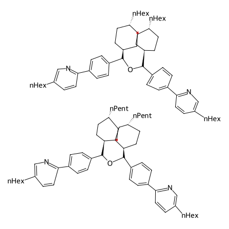 CCCCCCc1ccc(-c2ccc(C(OC(c3ccc(-c4ccc(CCCCCC)cn4)cc3)[C@H]3CC[C@H](CCCCC)CC3)[C@H]3CC[C@H](CCCCC)CC3)cc2)nc1.CCCCCCc1ccc(-c2ccc(C(OC(c3ccc(-c4ccc(CCCCCC)cn4)cc3)[C@H]3CC[C@H](CCCCCC)CC3)[C@H]3CC[C@H](CCCCCC)CC3)cc2)nc1